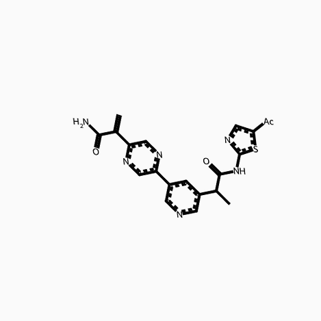 C=C(C(N)=O)c1cnc(-c2cncc(C(C)C(=O)Nc3ncc(C(C)=O)s3)c2)cn1